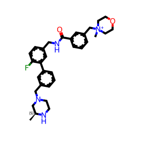 C[C@H]1CN(Cc2cccc(-c3cc(CNC(=O)c4cccc(C[N+]5(C)CCOCC5)c4)ccc3F)c2)CCN1